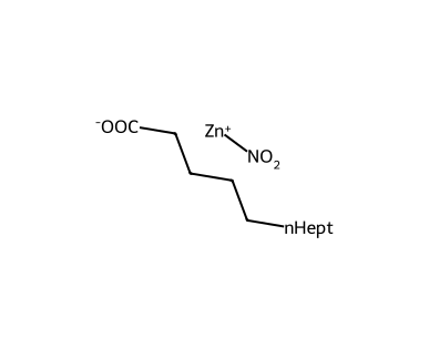 CCCCCCCCCCCC(=O)[O-].O=[N+]([O-])[Zn+]